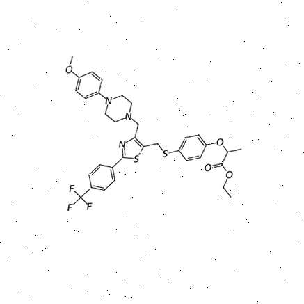 CCOC(=O)C(C)Oc1ccc(SCc2sc(-c3ccc(C(F)(F)F)cc3)nc2CN2CCN(c3ccc(OC)cc3)CC2)cc1